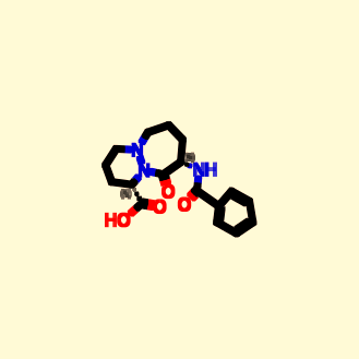 O=C(N[C@H]1CCCN2CCC[C@@H](C(=O)O)N2C1=O)c1ccccc1